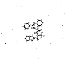 C[C@@H]1C2CCCC2CN1C(=O)C(NC(=O)[C@@H](NC(=O)c1cnccn1)C1CCCCC1)C(C)(C)C